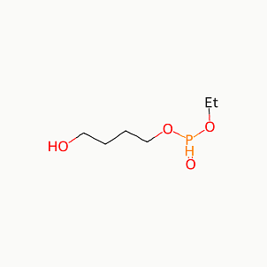 CCO[PH](=O)OCCCCO